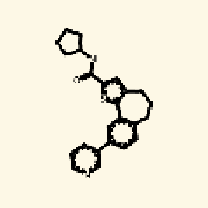 O=C(NC1CCCC1)c1cc2c(s1)-c1cc(-c3cccnc3)ccc1CCC2